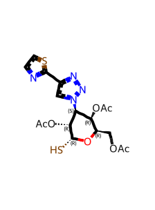 CC(=O)OC[C@H]1O[C@H](S)[C@H](OC(C)=O)[C@@H](n2cc(-c3nccs3)nn2)[C@H]1OC(C)=O